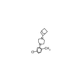 Cc1ccc(Cl)cc1N1CCN(C2CC3CCC2C3)CC1